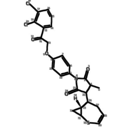 CC1C(=O)N(c2ccc(OCC(=O)c3cccc(Cl)c3Cl)cc2)C(=O)C1C1CC=CSC2C[C@@H]21